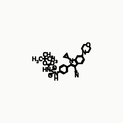 CC(C)(C)OC(=O)NS(=O)(=O)Nc1ccc(-c2c(C#N)c3ccc(N4CCOCC4)cc3n2C2CC2)cc1